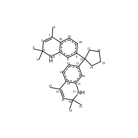 CC1=CC(C)(C)Nc2cc(C3(c4ccc5c(c4)NC(C)(C)C=C5C)CCCC3)ccc21